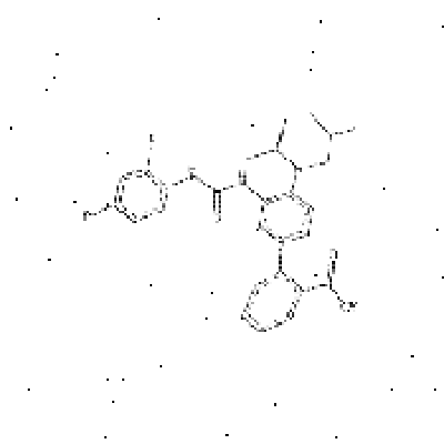 CC(C)CN(c1ccc(-c2ccccc2C(=O)O)cc1NC(=O)Nc1ccc(F)cc1F)C(C)C